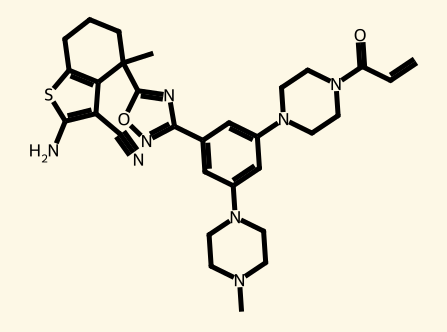 C=CC(=O)N1CCN(c2cc(-c3noc(C4(C)CCCc5sc(N)c(C#N)c54)n3)cc(N3CCN(C)CC3)c2)CC1